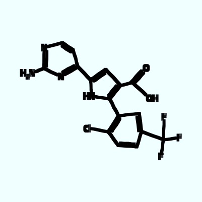 Nc1nccc(-c2cc(C(=O)O)c(-c3cc(C(F)(F)F)ccc3Cl)[nH]2)n1